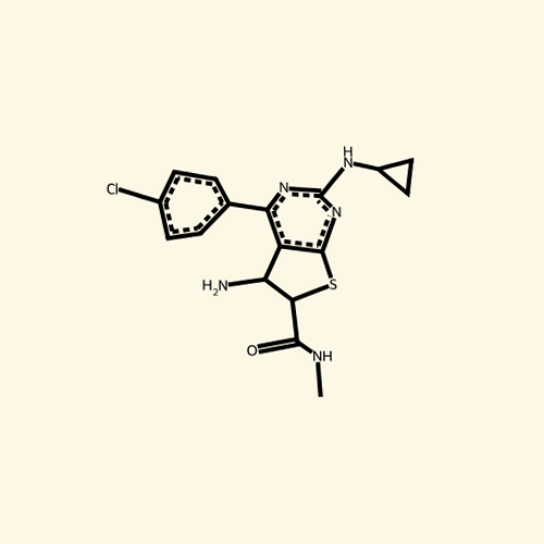 CNC(=O)C1Sc2nc(NC3CC3)nc(-c3ccc(Cl)cc3)c2C1N